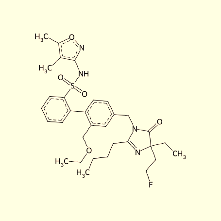 CCCCC1=NC(CC)(CCF)C(=O)N1Cc1ccc(-c2ccccc2S(=O)(=O)Nc2noc(C)c2C)c(COCC)c1